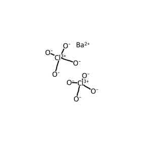 [Ba+2].[O-][Cl+3]([O-])([O-])[O-].[O-][Cl+3]([O-])([O-])[O-]